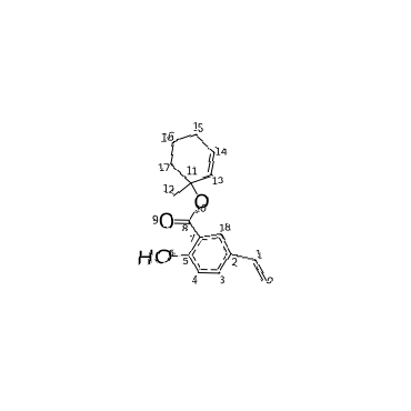 C=Cc1ccc(O)c(C(=O)OC2(C)C=CCCC2)c1